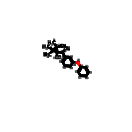 CC1(C)C(C)(C)C1(C(=O)O)C(C#N)c1cccc(Oc2ccccc2)c1